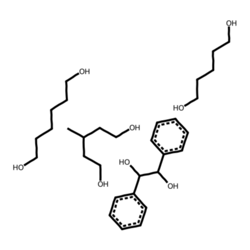 CC(CCO)CCO.OC(c1ccccc1)C(O)c1ccccc1.OCCCCCCO.OCCCCCO